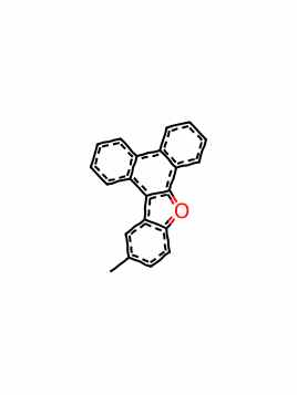 Cc1ccc2oc3c4ccccc4c4ccccc4c3c2c1